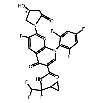 O=C(NC(F)(C(F)F)C1CC1)c1cn(-c2c(F)cc(F)cc2F)c2nc(N3C[C@@H](O)CC3=O)c(F)cc2c1=O